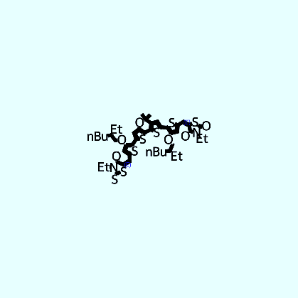 CCCCC(CC)COc1cc(/C=C2/SC(=S)N(CC)C2=O)sc1-c1cc2c(s1)-c1sc(-c3sc(/C=C4/SC(=O)N(CC)C4=O)cc3OCC(CC)CCCC)cc1C(C)(C)O2